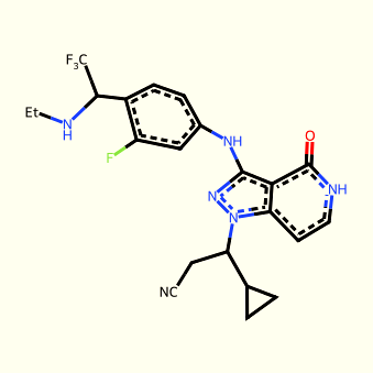 CCNC(c1ccc(Nc2nn(C(CC#N)C3CC3)c3cc[nH]c(=O)c23)cc1F)C(F)(F)F